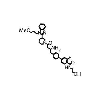 COCCCn1c(C2CCCN(C(=O)CC(N)Cc3ccc(-c4ccc(C(=O)NCCO)c(F)c4)cc3)C2)nc2ccccc21